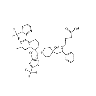 CCC[C@H]1N(C(=O)c2ncccc2C(F)(F)F)CCC[C@@]1(Oc1csc(C(F)(F)F)c1)C(=O)N1CCC(O)(CC(OCCCC(=O)O)c2ccccc2)CC1